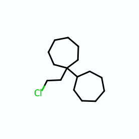 ClCCC1(C2CCCCCC2)CCCCCC1